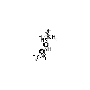 CC(C)(CCO)CNC1CCC(Nc2cccc3c2cc(I)n3CC(F)(F)F)CC1